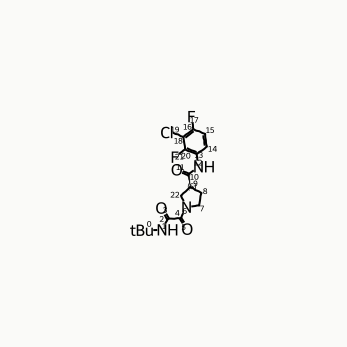 CC(C)(C)NC(=O)C(=O)N1CC[C@H](C(=O)Nc2ccc(F)c(Cl)c2F)C1